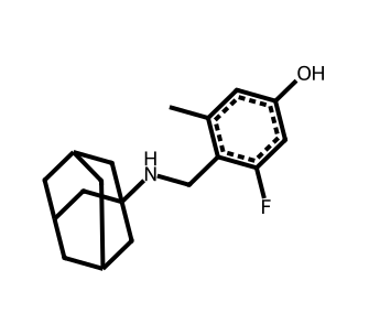 Cc1cc(O)cc(F)c1CNC12CC3CC(CC(C3)C1)C2